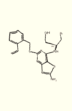 C=Cc1ccccc1CSc1nc(N[C@@H](CO)CC(C)C)c2sc(N)nc2n1